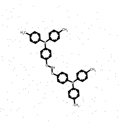 Cc1ccc(N(c2ccc(C)cc2)c2ccc(OBOc3ccc(N(c4ccc(C)cc4)c4ccc(C)cc4)cc3)cc2)cc1